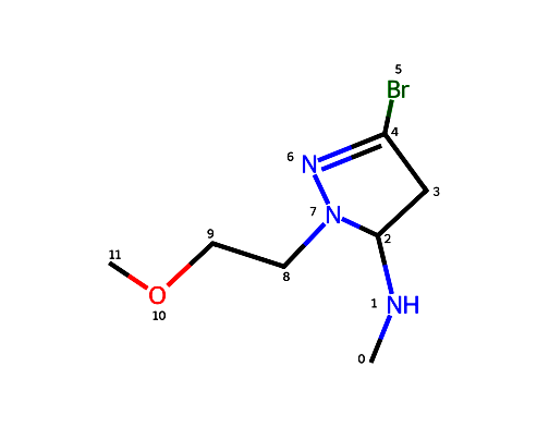 CNC1CC(Br)=NN1CCOC